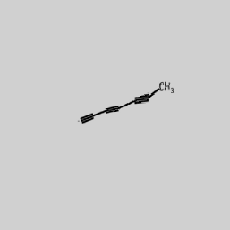 [C]#CC#CC#CC